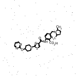 CC1CCC(C)N1Cc1ccc(NC(=O)c2csc(N3CCC(Oc4ncccn4)CC3)n2)c(C(=O)O)c1